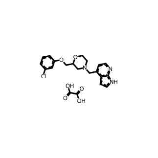 Clc1cccc(OCC2CN(Cc3ccnc4[nH]ccc34)CCO2)c1.O=C(O)C(=O)O